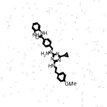 COc1ccc(CCNc2nc(C3CC3)nc(N(N)Cc3ccc(C(=O)Nc4ccccc4N)cc3)n2)cc1